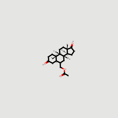 CC(=O)OCC1C[C@@H]2[C@@H](CC[C@]3(C)C(=O)CC[C@@H]23)[C@@]2(C)CCC(=O)CC12